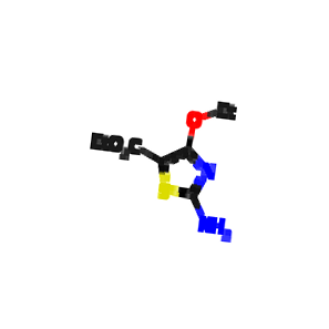 CCOC(=O)c1sc(N)nc1OCC